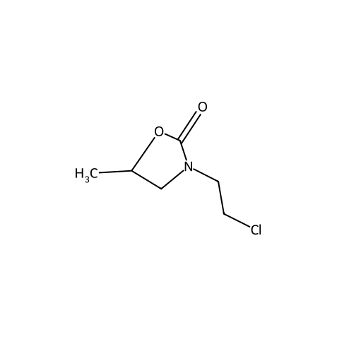 CC1CN(CCCl)C(=O)O1